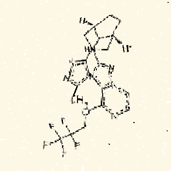 Cc1cc(N2C[C@H]3CC[C@@H](C2)C3Nc2nc3c(OCC(F)(F)C(F)(F)F)nccn3n2)sn1